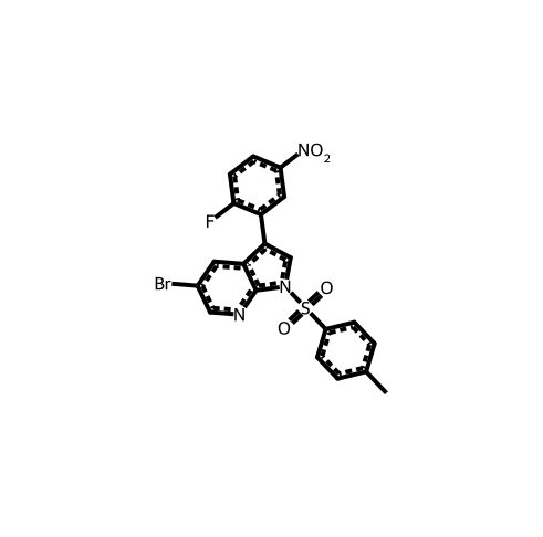 Cc1ccc(S(=O)(=O)n2cc(-c3cc([N+](=O)[O-])ccc3F)c3cc(Br)cnc32)cc1